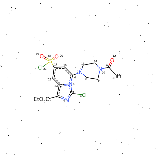 CCOC(=O)c1nc(Cl)n2c(N3CCN(C(=O)C(C)C)CC3)cc(S(=O)(=O)Cl)cc12